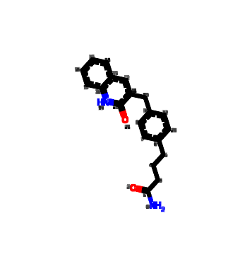 NC(=O)CCCc1ccc(Cc2cc3ccccc3[nH]c2=O)cc1